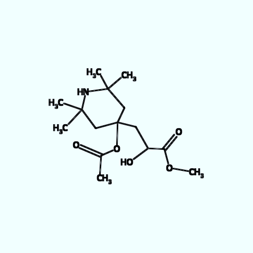 COC(=O)C(O)CC1(OC(C)=O)CC(C)(C)NC(C)(C)C1